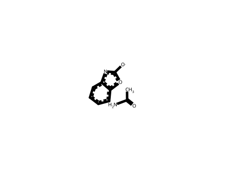 CC(N)=O.[O]c1nc2ccccc2o1